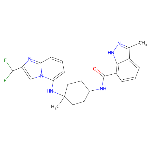 Cc1n[nH]c2c(C(=O)NC3CCC(C)(Nc4cccc5nc(C(F)F)cn45)CC3)cccc12